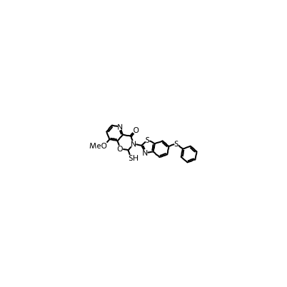 COc1ccnc2c1OC(S)N(c1nc3ccc(Sc4ccccc4)cc3s1)C2=O